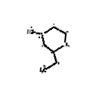 CCC1CN(S)CCO1